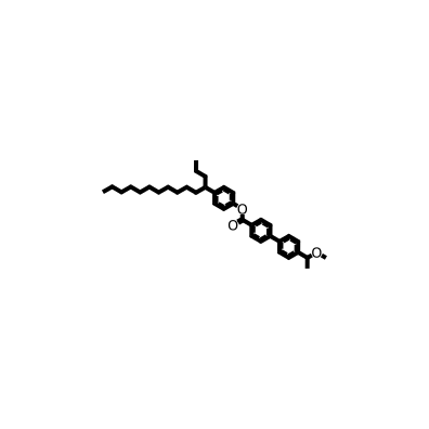 CCCCCCCCCCCC(CCC)c1ccc(OC(=O)c2ccc(-c3ccc(C(C)OC)cc3)cc2)cc1